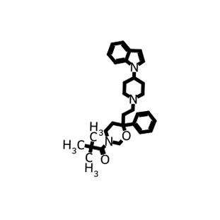 CC(C)(C)C(=O)N1CCC(CCN2CCC(n3ccc4ccccc43)CC2)(c2ccccc2)OC1